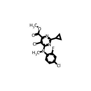 COC(=O)c1nc(C2CC2)nc(N(C)c2ccc(Cl)cc2F)c1Cl